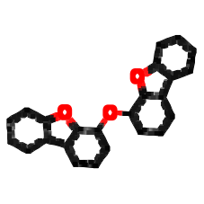 c1ccc2c(c1)oc1c(Oc3cccc4c3oc3ccccc34)cccc12